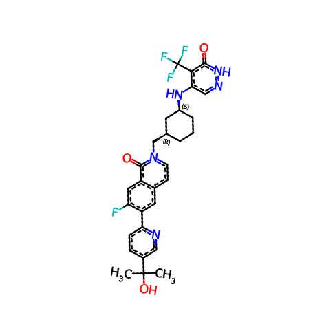 CC(C)(O)c1ccc(-c2cc3ccn(C[C@@H]4CCC[C@H](Nc5cn[nH]c(=O)c5C(F)(F)F)C4)c(=O)c3cc2F)nc1